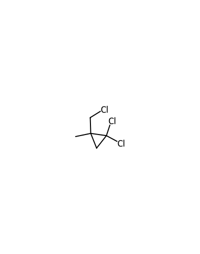 CC1(CCl)CC1(Cl)Cl